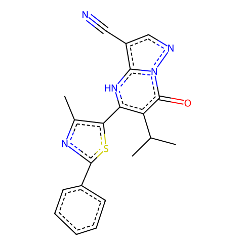 Cc1nc(-c2ccccc2)sc1-c1[nH]c2c(C#N)cnn2c(=O)c1C(C)C